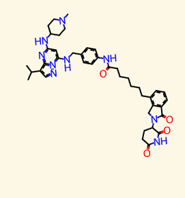 CC(C)c1cnn2c(NCc3ccc(NC(=O)CCCCCCc4cccc5c4CN(C4CCC(=O)NC4=O)C5=O)cc3)cc(NC3CCN(C)CC3)nc12